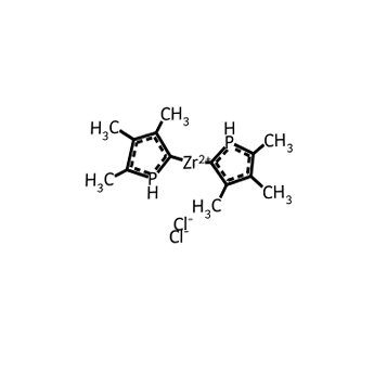 Cc1[pH][c]([Zr+2][c]2[pH]c(C)c(C)c2C)c(C)c1C.[Cl-].[Cl-]